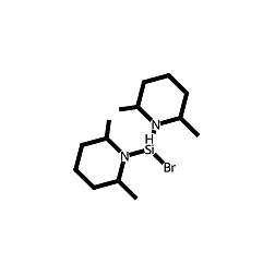 CC1CCCC(C)N1[SiH](Br)N1C(C)CCCC1C